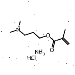 C=C(C)C(=O)OCCCN(C)C.Cl.N